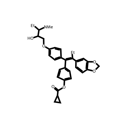 CCC(=C(c1ccc(OCC(O)C(CC)NC)cc1)c1ccc(OC(=O)C2CC2)cc1)c1ccc2c(c1)OCO2